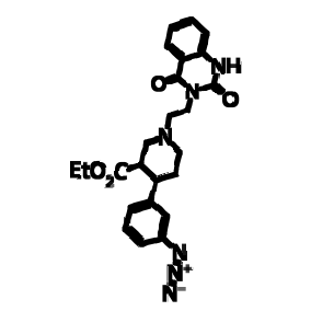 CCOC(=O)[C@H]1CN(CCn2c(=O)[nH]c3ccccc3c2=O)CC[C@H]1c1cccc(N=[N+]=[N-])c1